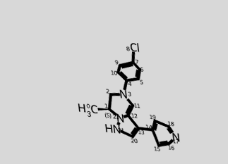 C[C@H]1CN(c2ccc(Cl)cc2)C=C2C(c3ccncc3)=CNN21